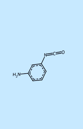 Nc1[c]c(N=C=O)ccc1